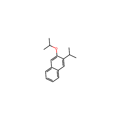 CC(C)Oc1cc2ccccc2cc1C(C)C